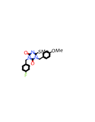 COc1ccc(Cn2c(SC)nc(=O)n(Cc3ccc(F)cc3)c2=O)cc1